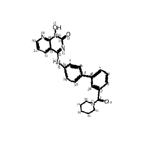 O=C(c1cccc(-c2ccc(Nc3nc(=O)n(O)c4ncccc34)cc2)c1)N1CCCCC1